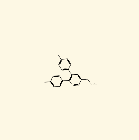 CNCc1cnc(-c2ccc(Cl)cc2)c(-c2ccc(Cl)cc2)c1